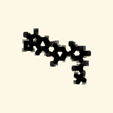 Cc1c(Oc2c(Cl)cc(-n3nc(NC(=O)OC(C)(C)C)c(=O)[nH]c3=O)cc2Cl)ccc2c1C1(CCC1)C(=O)N2